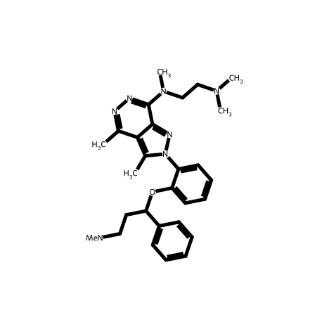 CNCCC(Oc1ccccc1-n1nc2c(N(C)CCN(C)C)nnc(C)c2c1C)c1ccccc1